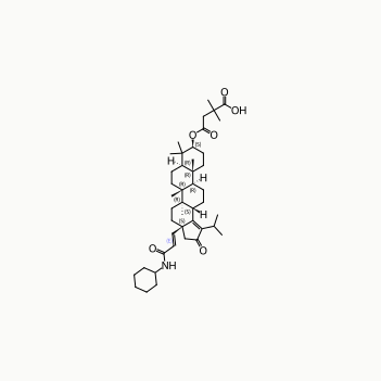 CC(C)C1=C2[C@H]3CC[C@@H]4[C@@]5(C)CC[C@H](OC(=O)CC(C)(C)C(=O)O)C(C)(C)[C@@H]5CC[C@@]4(C)[C@]3(C)CC[C@@]2(/C=C/C(=O)NC2CCCCC2)CC1=O